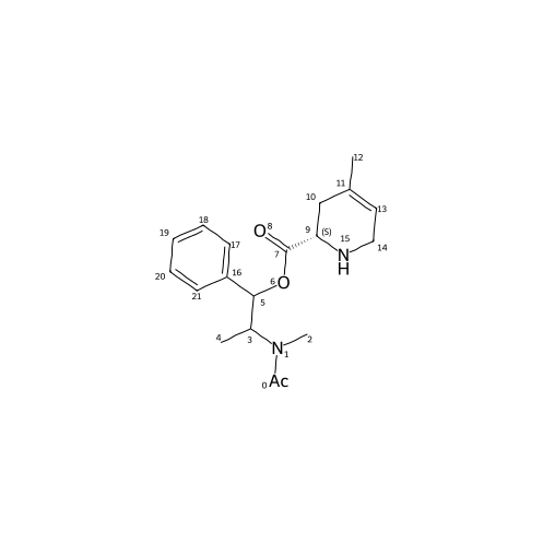 CC(=O)N(C)C(C)C(OC(=O)[C@@H]1CC(C)=CCN1)c1ccccc1